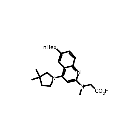 CCCCCCc1ccc2nc(N(C)CC(=O)O)cc(N3CCC(C)(C)C3)c2c1